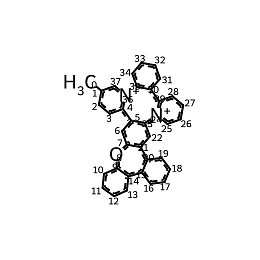 Cc1ccc2c3cc4oc5ccccc5c5ccccc5c4cc3[n+]3ccccc3c3ccccc3[n+]2c1